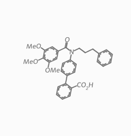 COc1cc(C(=O)N(CCCc2ccccc2)c2ccc(-c3ccccc3C(=O)O)cc2)cc(OC)c1OC